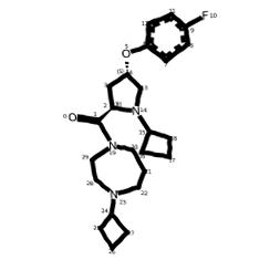 O=C([C@H]1C[C@H](Oc2ccc(F)cc2)CN1C1CCC1)N1CCCN(C2CCC2)CC1